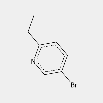 C[CH]c1ccc(Br)cn1